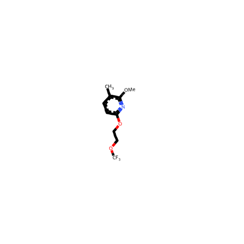 COc1nc(OCCOC(F)(F)F)ccc1C